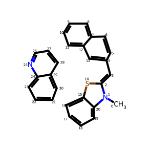 CN1C(=Cc2ccc3ccccc3c2)Sc2ccccc21.c1ccc2ncccc2c1